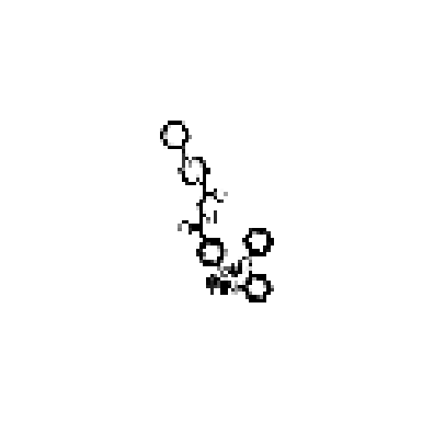 O=C(NCC(=O)N1CCN(C2CCCCC2)CC1)c1ccc(S(=O)(=O)Nc2ccccc2Oc2ccccc2)cc1